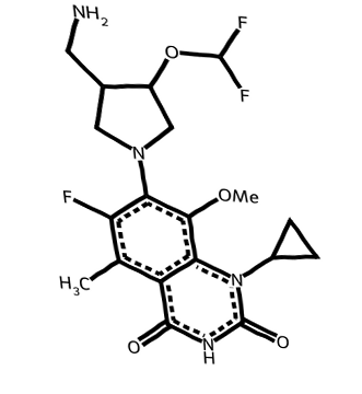 COc1c(N2CC(CN)C(OC(F)F)C2)c(F)c(C)c2c(=O)[nH]c(=O)n(C3CC3)c12